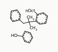 CCCCCCCCc1ccccc1C(C)(C)Cc1ccccc1.Oc1ccccc1